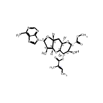 C/C=C(\C)C(=O)O[C@H]1[C@H](O)[C@@H](C(=O)OC)O[C@@H]2C[C@H]3O[C@@H](n4cnc5c(N)ncnc54)[C@H](O)[C@H]3O[C@@]21O